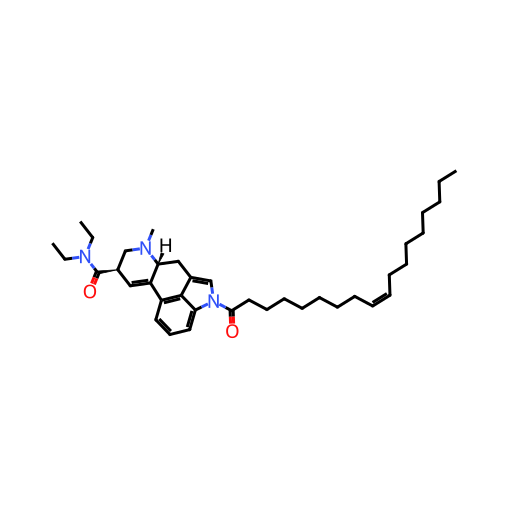 CCCCCCCC/C=C\CCCCCCCC(=O)n1cc2c3c(cccc31)C1=C[C@@H](C(=O)N(CC)CC)CN(C)[C@@H]1C2